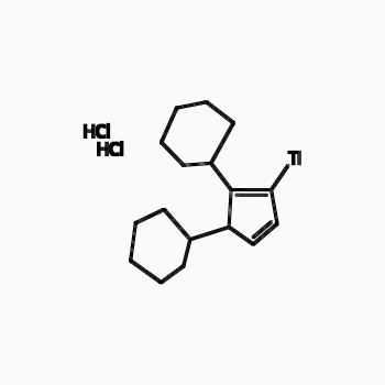 Cl.Cl.[Ti][C]1=C(C2CCCCC2)C(C2CCCCC2)C=C1